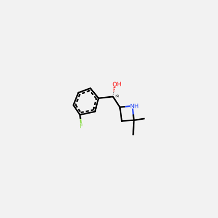 CC1(C)CC([C@@H](O)c2cccc(F)c2)N1